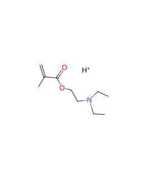 C=C(C)C(=O)OCCN(CC)CC.[H+]